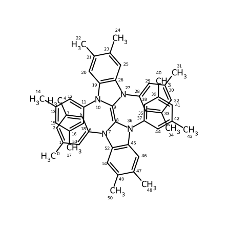 Cc1cc(C)cc(N2C(=C3N(c4cc(C)cc(C)c4)c4cc(C)c(C)cc4N3c3cc(C)cc(C)c3)N(c3cc(C)cc(C)c3)c3cc(C)c(C)cc32)c1